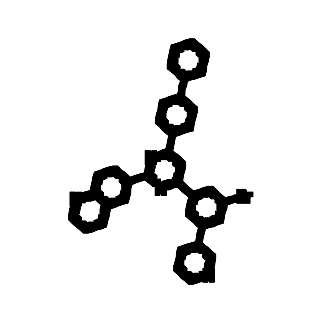 Brc1cc(-c2cccnc2)cc(-c2cc(-c3ccc(-c4ccccc4)cc3)nc(-c3ccc4ncccc4c3)n2)c1